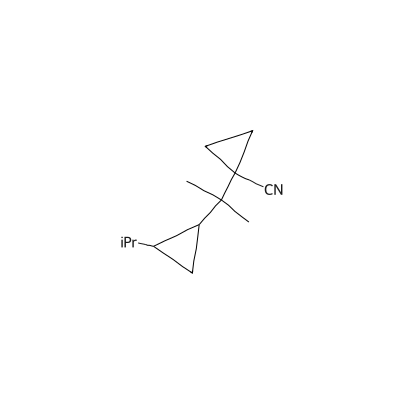 CC(C)C1CC1C(C)(C)C1(C#N)CC1